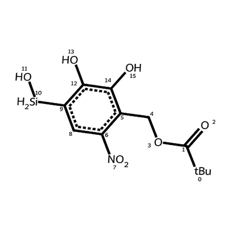 CC(C)(C)C(=O)OCc1c([N+](=O)[O-])cc([SiH2]O)c(O)c1O